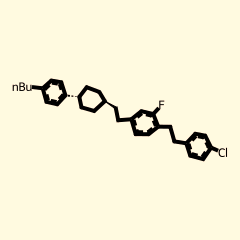 CCCCc1ccc([C@H]2CC[C@H](CCc3ccc(CCc4ccc(Cl)cc4)c(F)c3)CC2)cc1